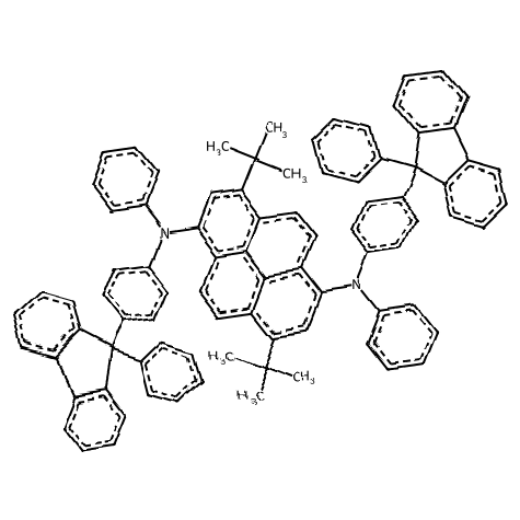 CC(C)(C)c1cc(N(c2ccccc2)c2ccc(C3(c4ccccc4)c4ccccc4-c4ccccc43)cc2)c2ccc3c(C(C)(C)C)cc(N(c4ccccc4)c4ccc(C5(c6ccccc6)c6ccccc6-c6ccccc65)cc4)c4ccc1c2c43